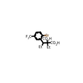 CCC(c1cc(C(F)(F)F)ccc1Br)C(CC)(C(=O)O)C(=O)O